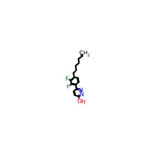 C=CCCCCCc1ccc(-c2ccc(O)nn2)c(F)c1F